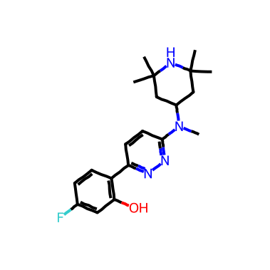 CN(c1ccc(-c2ccc(F)cc2O)nn1)C1CC(C)(C)NC(C)(C)C1